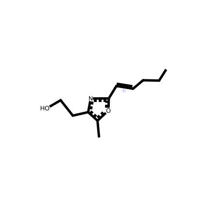 CCC/C=C/c1nc(CCO)c(C)o1